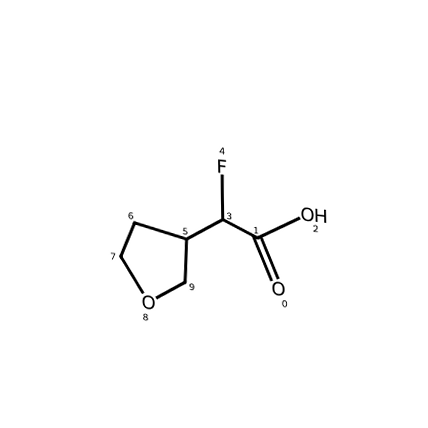 O=C(O)C(F)C1CCOC1